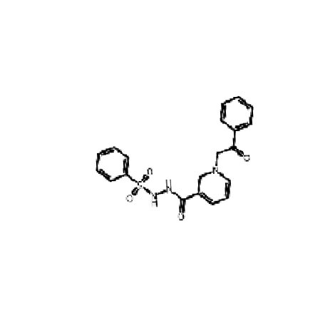 O=C(NNS(=O)(=O)c1ccccc1)C1=CC=CN(CC(=O)c2ccccc2)C1